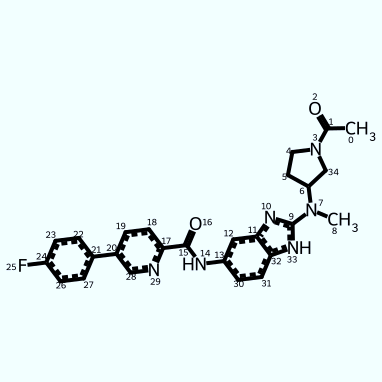 CC(=O)N1CCC(N(C)c2nc3cc(NC(=O)c4ccc(-c5ccc(F)cc5)cn4)ccc3[nH]2)C1